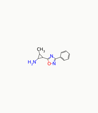 CC1C(N)C1c1nc(-c2ccccc2)no1